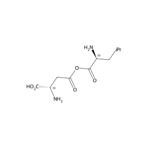 CC(C)C[C@H](N)C(=O)OC(=O)C[C@H](N)C(=O)O